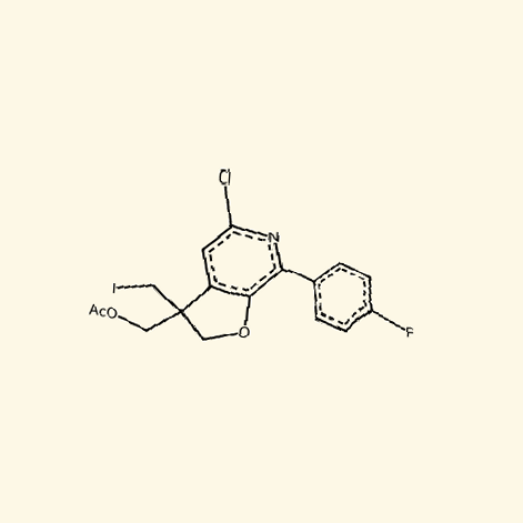 CC(=O)OCC1(CI)COc2c1cc(Cl)nc2-c1ccc(F)cc1